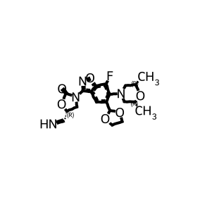 C[C@@H]1CN(c2c(C3OCCO3)cc3c(N4C[C@H](C=N)OC4=O)noc3c2F)C[C@@H](C)O1